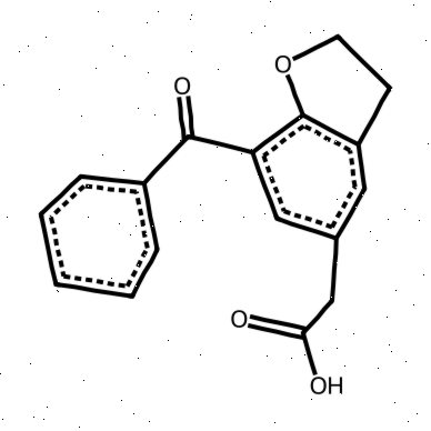 O=C(O)Cc1cc2c(c(C(=O)c3ccccc3)c1)OCC2